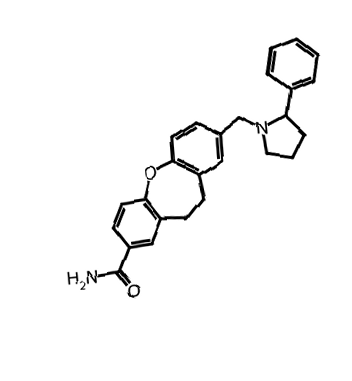 NC(=O)c1ccc2c(c1)CCc1cc(CN3CCCC3c3ccccc3)ccc1O2